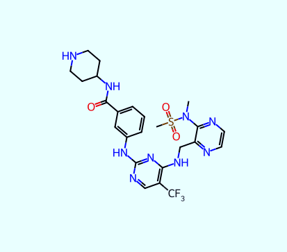 CN(c1nccnc1CNc1nc(Nc2cccc(C(=O)NC3CCNCC3)c2)ncc1C(F)(F)F)S(C)(=O)=O